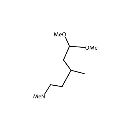 CNCCC(C)CC(OC)OC